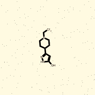 Oc1cc(C2CCN(CC(F)(F)F)CC2)n[nH]1